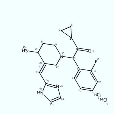 Cl.Cl.O=C(C1CC1)C(c1ccccc1F)N1CCC(S)/C(=C/c2ncc[nH]2)C1